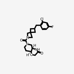 O=C1CO[C@H]2CCN(C(=O)N3CC4(CC(Cc5ccc(F)cc5Cl)C4)C3)C[C@H]2N1